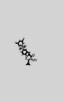 CCCN(CC1CC1)C(=O)c1cc2cc(S(=O)(=O)N3CC(C)CC(C)C3)ccc2n1C